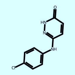 O=c1ccc(Nc2ccc(Cl)cc2)n[nH]1